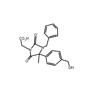 CC1(c2ccc(CO)cc2)C(=O)N(CC(=O)O)C(=O)N1Cc1ccccc1